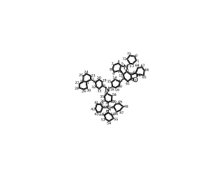 c1ccc(-n2c3ccccc3c3c(-c4ccc(N(c5ccc(-c6cccc7ccccc67)cc5)c5ccc([Si](c6ccccc6)(c6ccccc6)c6ccccc6)cc5)cc4)cc4oc5ccccc5c4c32)cc1